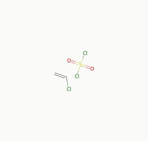 C=CCl.O=S(=O)(Cl)Cl